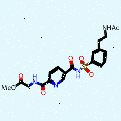 COC(=O)CNC(=O)c1ccc(C(=O)NS(=O)(=O)c2cccc(CCNC(C)=O)c2)cn1